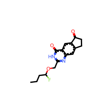 CCCC(F)OCc1nc2cc3c(cc2c(=O)[nH]1)C(=O)CC3